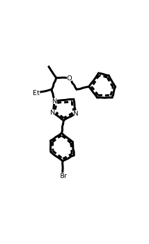 CCC(C(C)OCc1ccccc1)n1cnc(-c2ccc(Br)cc2)n1